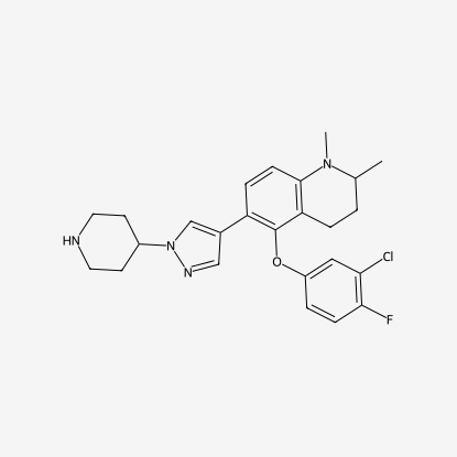 CC1CCc2c(ccc(-c3cnn(C4CCNCC4)c3)c2Oc2ccc(F)c(Cl)c2)N1C